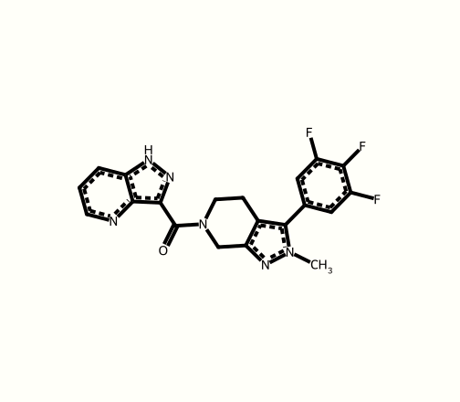 Cn1nc2c(c1-c1cc(F)c(F)c(F)c1)CCN(C(=O)c1n[nH]c3cccnc13)C2